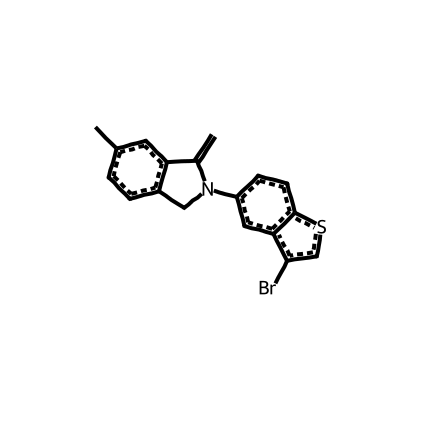 C=C1c2cc(C)ccc2CN1c1ccc2scc(Br)c2c1